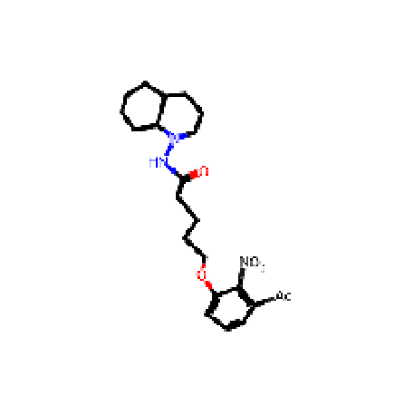 CC(=O)c1cccc(OCCCCC(=O)NN2CCCC3CCCCC32)c1[N+](=O)[O-]